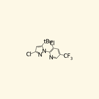 CC(C)(C)c1cc(Cl)nn1-c1ncc(C(F)(F)F)cc1Cl